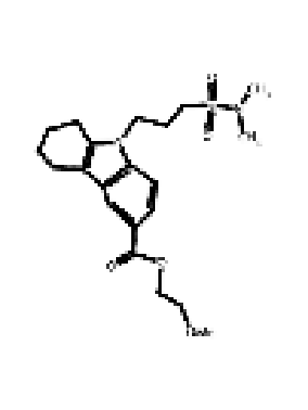 COCCOC(=O)c1ccc2c(c1)c1c(n2CCCS(=O)(=O)N(C)C)CCCC1